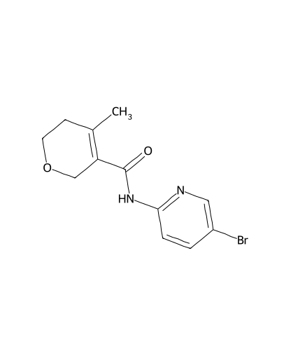 CC1=C(C(=O)Nc2ccc(Br)cn2)COCC1